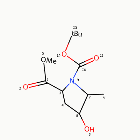 COC(=O)C1CC(O)C(C)N1C(=O)OC(C)(C)C